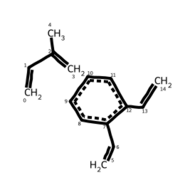 C=CC(=C)C.C=Cc1ccccc1C=C